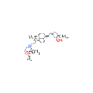 C=C1CC/C(=C/C=C2\CCCC3(C)C(CCCN4CCOC(C)(C)C4)CCC23)CC1O